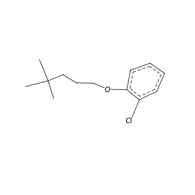 CC(C)(C)CCCOc1ccccc1Cl